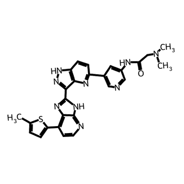 Cc1ccc(-c2ccnc3[nH]c(-c4n[nH]c5ccc(-c6cncc(NC(=O)CN(C)C)c6)nc45)nc23)s1